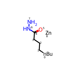 CCCCCCCC(=O)NN.[Zn]